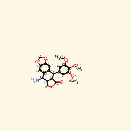 [3H]Oc1c(OC)cc(C2c3cc4c(cc3C(N)C3COC(=O)C23)OCO4)cc1OC